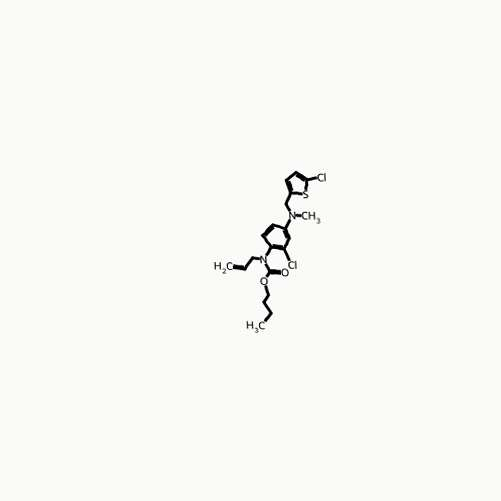 C=CCN(C(=O)OCCCC)c1ccc(N(C)Cc2ccc(Cl)s2)cc1Cl